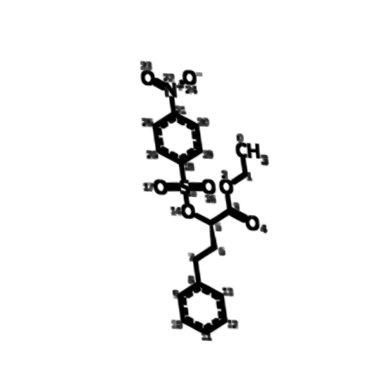 CCOC(=O)[C@@H](CCc1ccccc1)OS(=O)(=O)c1ccc([N+](=O)[O-])cc1